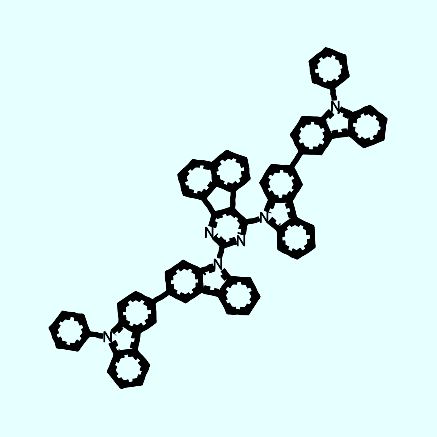 c1ccc(-n2c3ccccc3c3cc(-c4ccc5c(c4)c4ccccc4n5-c4nc5c(c(-n6c7ccccc7c7cc(-c8ccc9c(c8)c8ccccc8n9-c8ccccc8)ccc76)n4)-c4cccc6cccc-5c46)ccc32)cc1